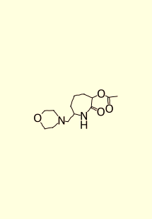 CC(=O)OC1CCCC(CN2CCOCC2)NC1=O